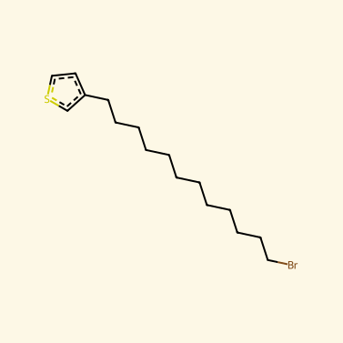 BrCCCCCCCCCCCCc1ccsc1